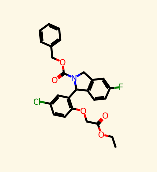 CCOC(=O)COc1ccc(Cl)cc1C1c2ccc(F)cc2CN1C(=O)OCc1ccccc1